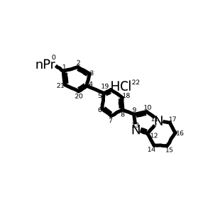 CCCc1ccc(-c2ccc(-c3cn4c(n3)CCCC4)cc2)cc1.Cl